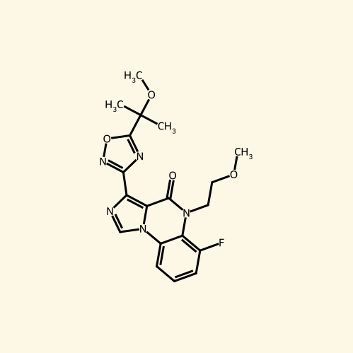 COCCn1c(=O)c2c(-c3noc(C(C)(C)OC)n3)ncn2c2cccc(F)c21